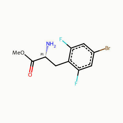 COC(=O)[C@H](N)Cc1c(F)cc(Br)cc1F